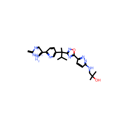 C=C(N)/N=C\C(=C/N)c1ccc(C(C)(c2noc(-c3ccc(NCC(C)(C)O)nn3)n2)C(C)C)cn1